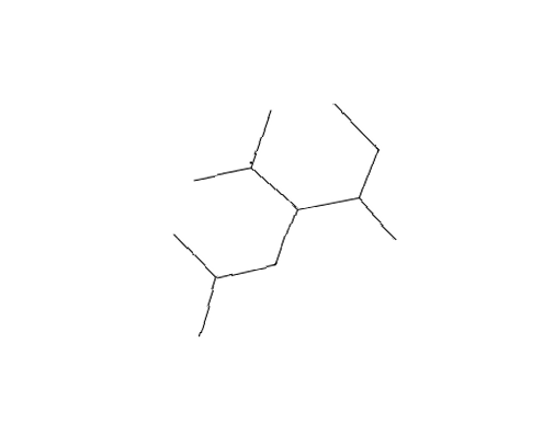 CCC(C)C(CC(C)C)[C](C)C